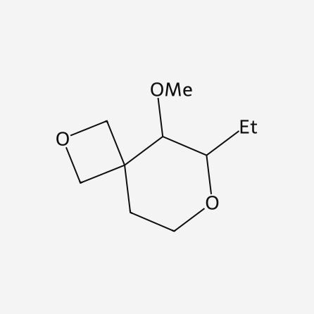 CCC1OCCC2(COC2)C1OC